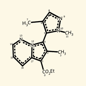 CCOC(=O)c1c(C)c(-c2c(C)cnn2C)n2ncccc12